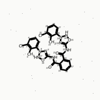 Cc1c(Cl)cccc1N1N=C(NC(=O)c2ccccc2C(=O)NC2=NN(c3cccc(Cl)c3C)NO2)ON1